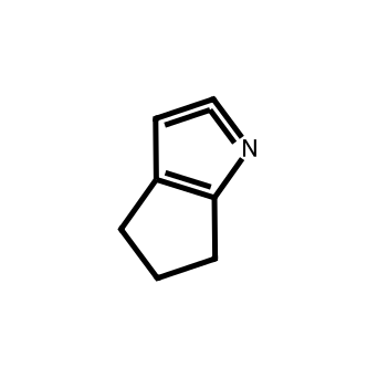 C1=CC2=C(CCC2)N=1